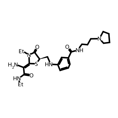 CCNC(=O)/C(N)=C1\S[C@H](CNc2cccc(C(=O)NCCCN3CCCC3)c2)C(=O)N1CC